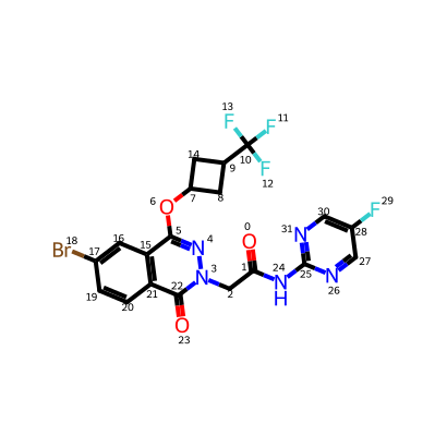 O=C(Cn1nc(OC2CC(C(F)(F)F)C2)c2cc(Br)ccc2c1=O)Nc1ncc(F)cn1